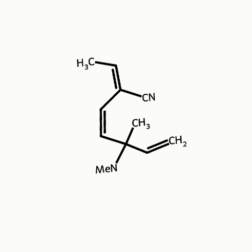 C=CC(C)(/C=C\C(C#N)=C/C)NC